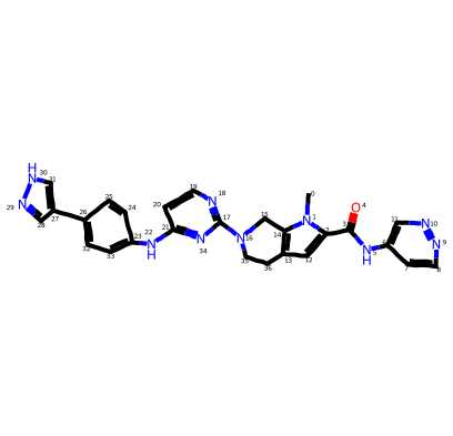 Cn1c(C(=O)Nc2ccnnc2)cc2c1CN(c1nccc(Nc3ccc(-c4cn[nH]c4)cc3)n1)CC2